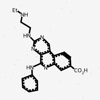 CCNCCNc1ncc2c(n1)c(Nc1ccccc1)nc1cc(C(=O)O)c#cc12